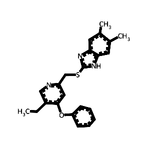 CCc1cnc(CSc2nc3cc(C)c(C)cc3[nH]2)cc1Oc1ccccc1